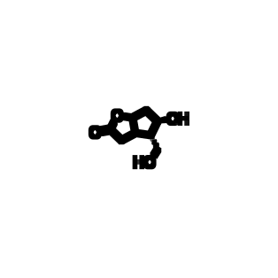 O=C1CC2C(C[C@@H](O)[C@@H]2CO)O1